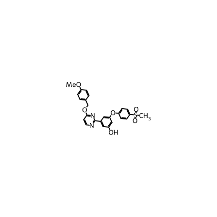 COc1ccc(COc2ccnc(-c3cc(O)cc(Oc4ccc(S(C)(=O)=O)cc4)c3)n2)cc1